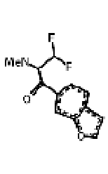 CNC(C(=O)c1ccc2ccoc2c1)C(F)F